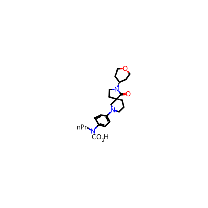 CCCN(C(=O)O)c1ccc(N2CCC[C@]3(CCN(C4CCOCC4)C3=O)C2)cc1